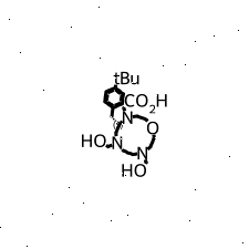 CC(C)(C)c1ccc(C[C@H]2CN(CO)CCN(CO)CCOCCN2CC(=O)O)cc1